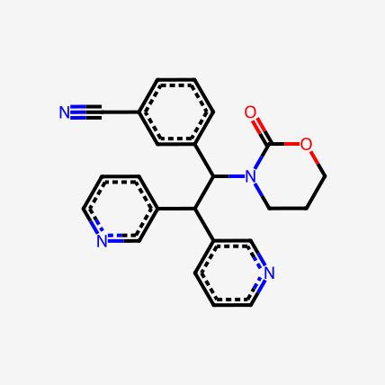 N#Cc1cccc(C(C(c2cccnc2)c2cccnc2)N2CCCOC2=O)c1